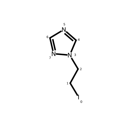 ICCn1cncn1